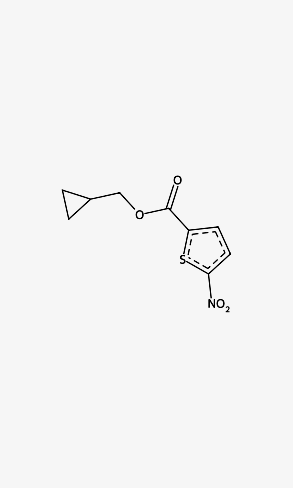 O=C(OCC1CC1)c1ccc([N+](=O)[O-])s1